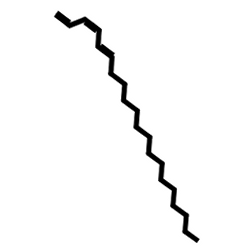 C=C/C=C\C=CCCCCCCCCCCCCCC